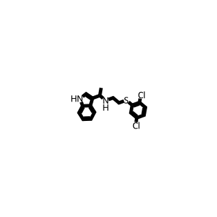 CC(NCCSc1cc(Cl)ccc1Cl)c1c[nH]c2ccccc12